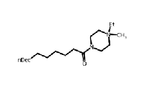 CCCCCCCCCCCCCCCC(=O)N1CC[N+](C)(CC)CC1